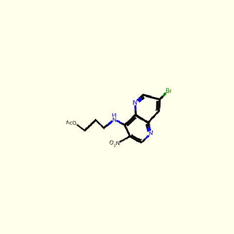 CC(=O)OCCCNc1c([N+](=O)[O-])cnc2cc(Br)cnc12